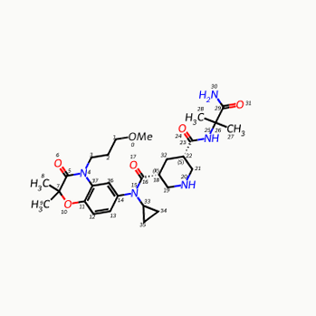 COCCCN1C(=O)C(C)(C)Oc2ccc(N(C(=O)[C@H]3CNC[C@@H](C(=O)NC(C)(C)C(N)=O)C3)C3CC3)cc21